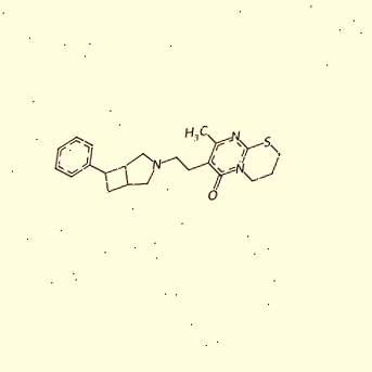 Cc1nc2n(c(=O)c1CCN1CC3CC(c4ccccc4)C3C1)CCCS2